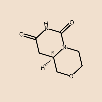 O=C1C[C@@H]2COCCN2C(=O)N1